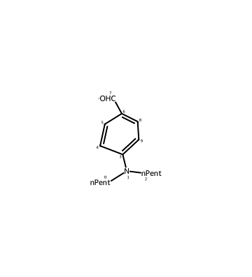 CCCCCN(CCCCC)c1ccc([C]=O)cc1